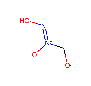 [O]C[N+]([O-])=NO